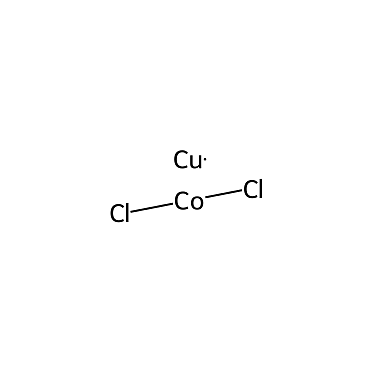 [Cl][Co][Cl].[Cu]